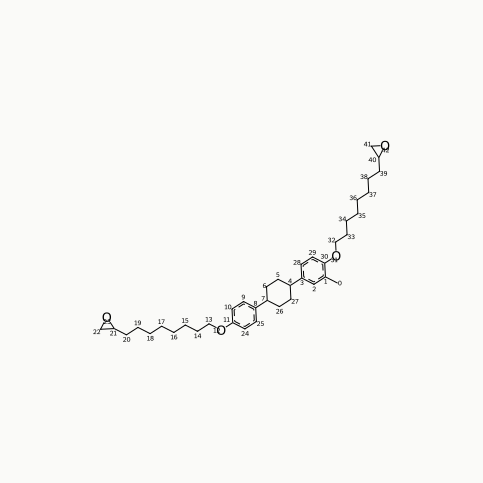 Cc1cc(C2CCC(c3ccc(OCCCCCCCCC4CO4)cc3)CC2)ccc1OCCCCCCCCC1CO1